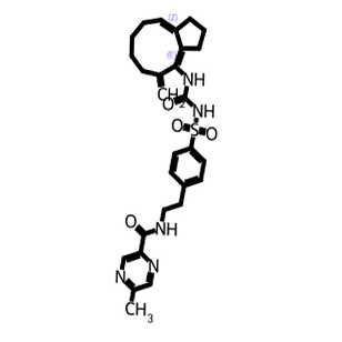 C=C1CCCC/C=C2/CCC/C2=C/1NC(=O)NS(=O)(=O)c1ccc(CCNC(=O)c2cnc(C)cn2)cc1